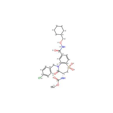 CC(C)(C)OC(=O)N[C@H]1CS(=O)(=O)c2ccc(C(=O)NOCC3CCCCC3)cc2N(Cc2ccc(Cl)cc2)C1=O